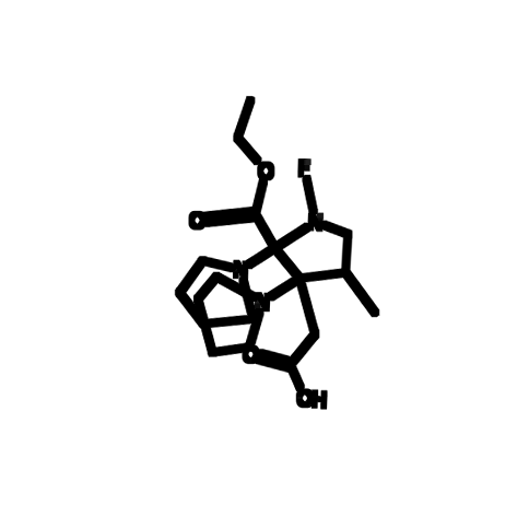 CCOC(=O)C1(N2CCCC2)N(F)CC(C)C1(CC(=O)O)N1CCCC1